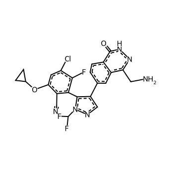 N#Cc1c(OC2CC2)cc(Cl)c(F)c1-c1c(-c2ccc3c(=O)[nH]nc(CN)c3c2)cnn1C(F)F